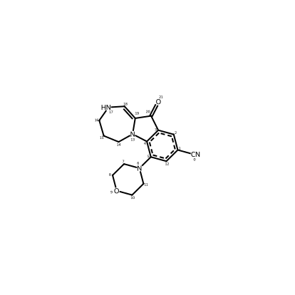 N#Cc1cc2c(c(N3CCOCC3)c1)N1CCCNC=C1C2=O